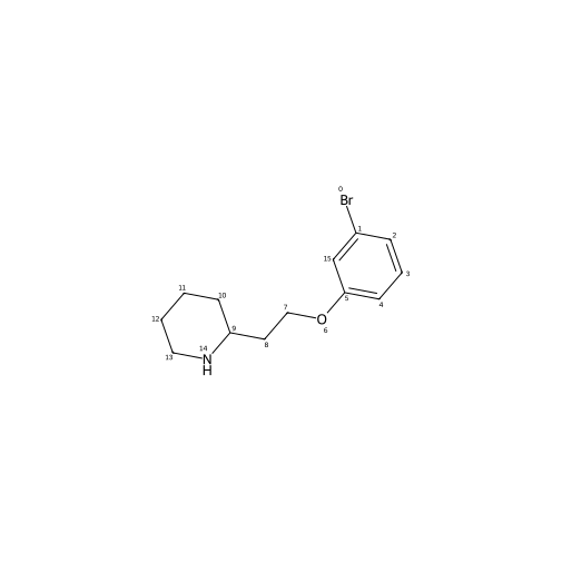 Brc1cccc(OCCC2CCCCN2)c1